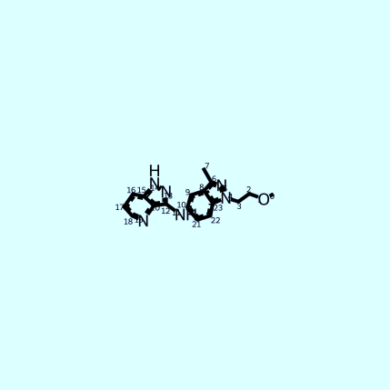 COCCn1nc(C)c2cc(Nc3n[nH]c4cccnc34)ccc21